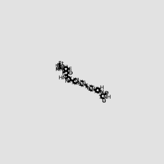 CCN(C)S(=O)(=O)Nc1ccc(F)c(C(=O)c2c[nH]c3ncc(-c4ccc(N5CCN(CCN6CCN(c7ccc(NC8CCC(=O)NC8=O)cc7)CC6)CC5)nc4)cc23)c1F